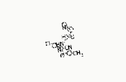 Cc1ccc(C(=O)c2nn(-c3ccc(Cl)cc3)c(NCCCNC(=O)C3CCCN(c4ccccn4)C3)c2C#N)cc1